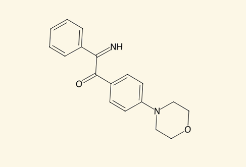 N=C(C(=O)c1ccc(N2CCOCC2)cc1)c1ccccc1